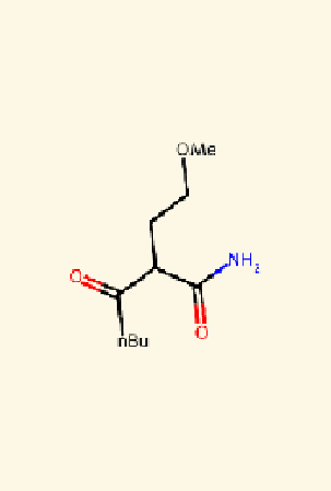 CCCCC(=O)C(CCOC)C(N)=O